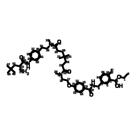 CCOC(O)c1cc(CNC(=O)c2ccc(OCCN(C)C(=O)CCC(C)(C)CCC(=O)N(C)CCc3ccc(NC(=O)[C@@H](N)CC(C)(C)C)cc3)cc2)ccc1F